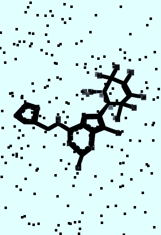 [2H]C1=C([2H])C([2H])([2H])[C@@H](c2sc3c(NCc4cccs4)nc(Cl)nc3c2Br)[C@H](N)C1([2H])[2H]